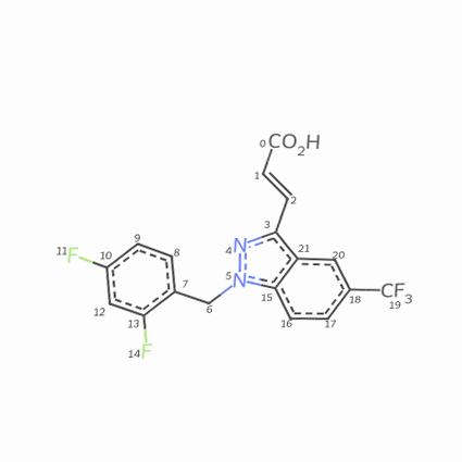 O=C(O)/C=C/c1nn(Cc2ccc(F)cc2F)c2ccc(C(F)(F)F)cc12